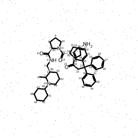 CC1[C@@H](CNC(=O)[C@H]2CCCN2C(=O)[C@@H]2C[C@H](N)CN2C(=O)CC(c2ccccc2)(c2ccccc2)c2ccccc2)CCCN1C1CCCCC1